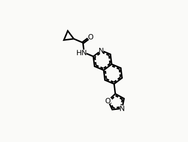 O=C(Nc1cc2cc(-c3cnco3)ccc2cn1)C1CC1